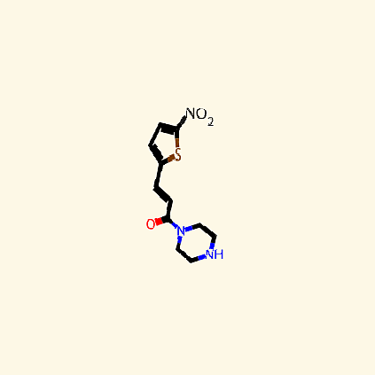 O=C(/C=C/c1ccc([N+](=O)[O-])s1)N1CCNCC1